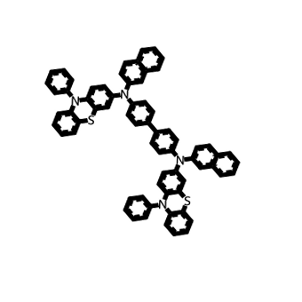 c1ccc(N2c3ccccc3Sc3cc(N(c4ccc(-c5ccc(N(c6ccc7c(c6)Sc6ccccc6N7c6ccccc6)c6ccc7ccccc7c6)cc5)cc4)c4ccc5ccccc5c4)ccc32)cc1